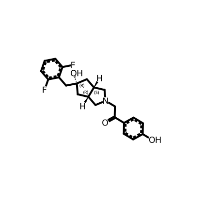 O=C(CN1C[C@@H]2C[C@@](O)(Cc3c(F)cccc3F)C[C@@H]2C1)c1ccc(O)cc1